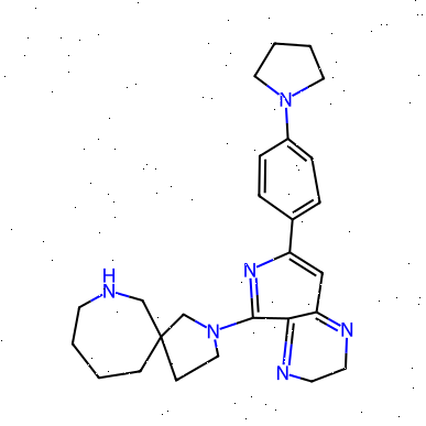 c1cc(N2CCCC2)ccc1-c1cc2c(c(N3CCC4(CCCCNC4)C3)n1)=NCCN=2